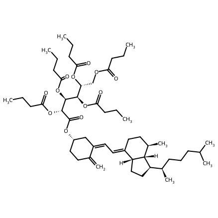 C=C1CC[C@H](OC(=O)[C@H](OC(=O)CCC)[C@@H](OC(=O)CCC)[C@H](OC(=O)CCC)[C@@H](COC(=O)CCC)OC(=O)CCC)C/C1=C/C=C1\CC[C@@H](C)[C@@H]2[C@@H]([C@H](C)CCCC(C)C)CC[C@H]12